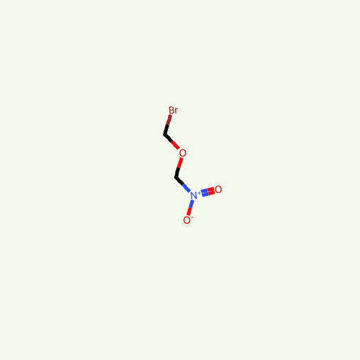 O=[N+]([O-])COCBr